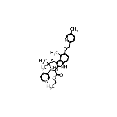 CCOC(=O)C(Cc1cccnc1)c1[nH]c2ccc(OCc3ccc(C)cn3)c(C)c2c1SC(C)(C)C